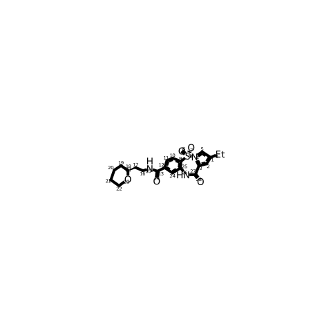 CCc1cc2n(c1)S(=O)(=O)c1ccc(C(=O)NCC[C@@H]3CCCCO3)cc1NC2=O